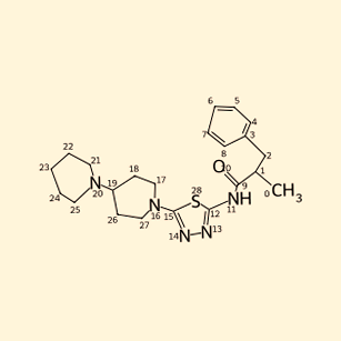 CC(Cc1ccccc1)C(=O)Nc1nnc(N2CCC(N3CCCCC3)CC2)s1